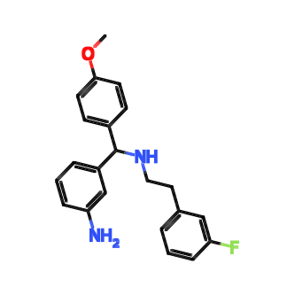 COc1ccc(C(NCCc2cccc(F)c2)c2cccc(N)c2)cc1